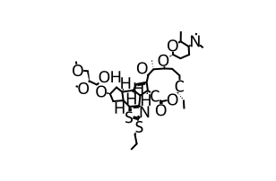 CCCSc1nc2c(s1)[C@@H]1C[C@@H](OC(O)[C@H](COC)OC)C[C@H]1[C@@H]1C=C3C(=O)[C@H](C)[C@@H](O[C@H]4CC[C@H](N(C)C)C(C)O4)CCC[C@H](CC)OC(=O)C[C@H]3[C@H]21